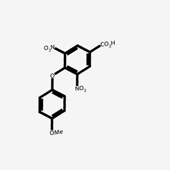 COc1ccc(Oc2c([N+](=O)[O-])cc(C(=O)O)cc2[N+](=O)[O-])cc1